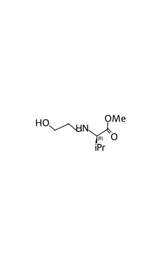 COC(=O)[C@H](NCCCO)C(C)C